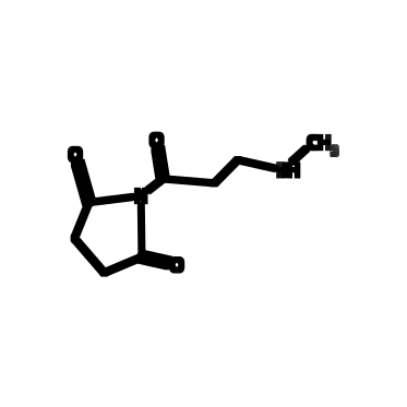 CBCCC(=O)N1C(=O)CCC1=O